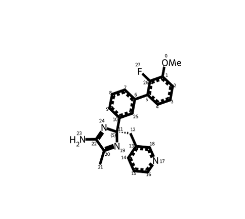 COc1cccc(-c2cccc([C@@]3(Cc4cccnc4)N=C(C)C(N)=N3)c2)c1F